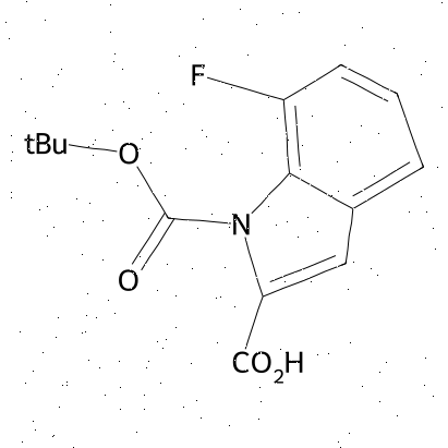 CC(C)(C)OC(=O)n1c(C(=O)O)cc2cccc(F)c21